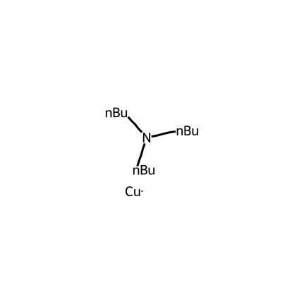 CCCCN(CCCC)CCCC.[Cu]